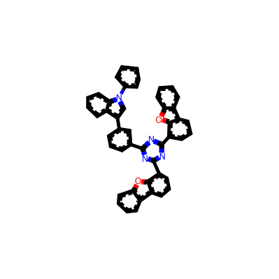 c1ccc(-n2cc(-c3cccc(-c4nc(-c5cccc6c5oc5ccccc56)nc(-c5cccc6c5oc5ccccc56)n4)c3)c3ccccc32)cc1